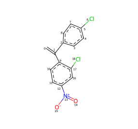 C=C(c1ccc(Cl)cc1)c1ccc([N+](=O)[O-])cc1Cl